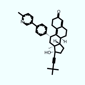 Cc1ccc(-c2ccc([C@H]3C[C@@]4(C)[C@@H](CC[C@@]4(O)C#CC(C)(C)C)[C@@H]4CCC5=CC(=O)CCC5=C43)cc2)cn1